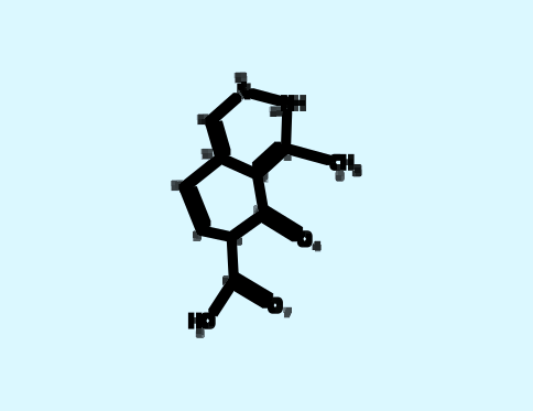 CC1=C2C(=O)C(C(=O)O)C=CC2=C[N]N1